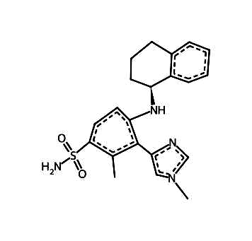 Cc1c(S(N)(=O)=O)ccc(N[C@H]2CCCc3ccccc32)c1-c1cn(C)cn1